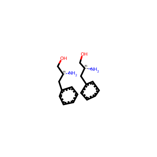 N[C@@H](CO)Cc1ccccc1.N[C@@H](CO)Cc1ccccc1